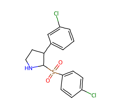 O=S(=O)(c1ccc(Cl)cc1)C1NCCC1c1cccc(Cl)c1